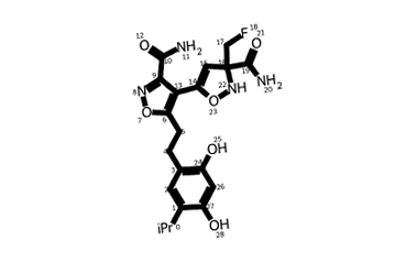 CC(C)c1cc(CCc2onc(C(N)=O)c2C2=CC(CF)(C(N)=O)NO2)c(O)cc1O